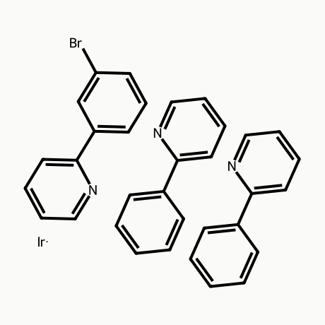 Brc1cccc(-c2ccccn2)c1.[Ir].c1ccc(-c2ccccn2)cc1.c1ccc(-c2ccccn2)cc1